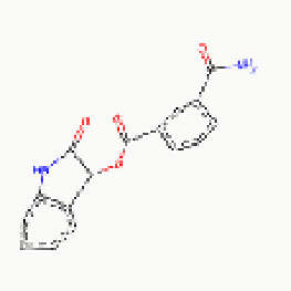 NC(=O)c1cccc(C(=O)OC2C(=O)Nc3ccccc32)c1